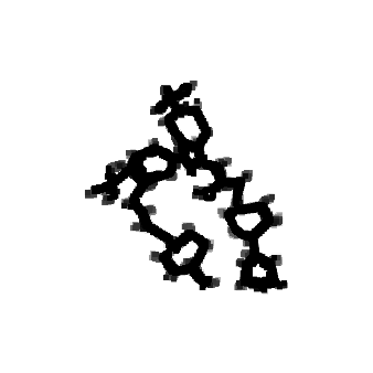 CS(=O)(=O)N1CCc2c(c(-c3ccc(C(F)(F)F)c(SCCN4CCC(F)CC4)c3)nn2CC(O)CN2CCC(c3ccncc3)CC2)C1